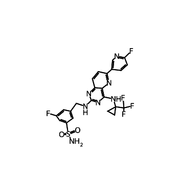 NS(=O)(=O)c1cc(F)cc(CNc2nc(NC3(C(F)(F)F)CC3)c3nc(-c4ccc(F)nc4)ccc3n2)c1